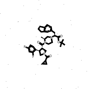 C[C@H]1CN([C@@H](Cc2ccc3c(c2)CCC3)C(=O)OC(C)(C)C)CCN1C(=O)[C@@H]1CN(C(=O)C2CC2)C[C@H]1c1ccc(F)cc1F